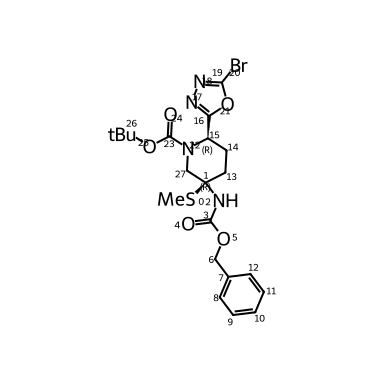 CS[C@]1(NC(=O)OCc2ccccc2)CC[C@H](c2nnc(Br)o2)N(C(=O)OC(C)(C)C)C1